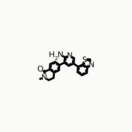 CN1CCc2cc(-c3cc(-c4cccc5ncsc45)cnc3N)ccc2C1=O